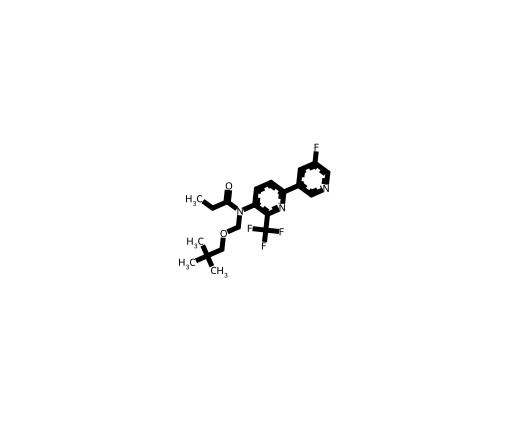 CCC(=O)N(COCC(C)(C)C)c1ccc(-c2cncc(F)c2)nc1C(F)(F)F